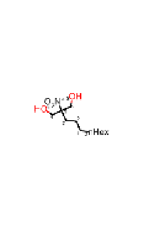 CCCCCCCCCC(CO)(CO)[N+](=O)[O-]